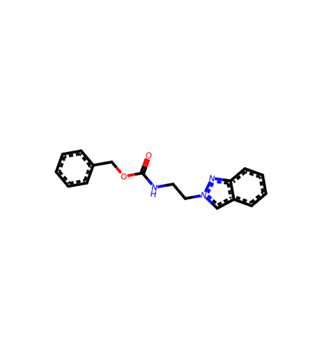 O=C(NCCn1cc2ccccc2n1)OCc1ccccc1